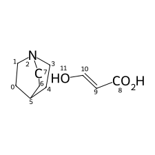 C1CN2CCC1CC2.O=C(O)C=CO